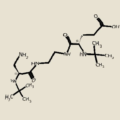 CC(C)(C)N[C@@H](CN)C(=O)NCCNC(=O)[C@H](CCC(=O)O)NC(C)(C)C